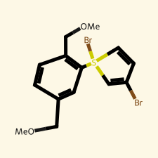 COCc1ccc(COC)c(S2(Br)C=CC(Br)=C2)c1